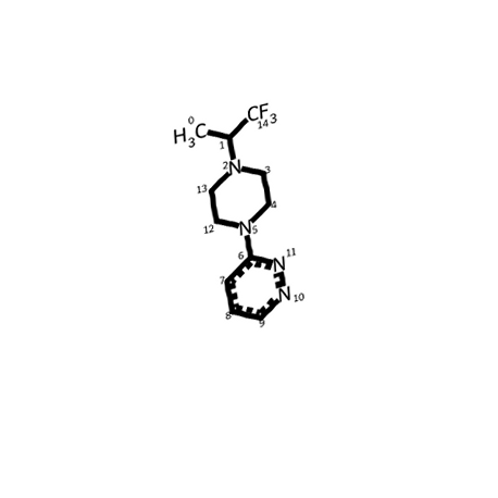 CC(N1CCN(c2cccnn2)CC1)C(F)(F)F